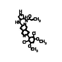 C=CC(=O)N[C@H]1CNC[C@H]1Nc1cc2cnc(-c3c(Cl)c(OC)cc(OC)c3Cl)cc2cn1